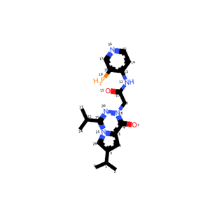 CC(C)c1cc2c(=O)n(CC(=O)Nc3ccncc3P)nc(C(C)C)n2c1